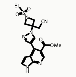 CCS(=O)(=O)N1CC(CC#N)(n2cc(-c3c(C(=O)OC)cnc4[nH]ccc34)cn2)C1